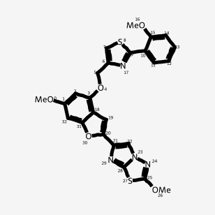 COc1cc(OCc2csc(-c3ccccc3OC)n2)c2cc(-c3cn4nc(OC)sc4n3)oc2c1